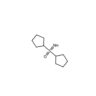 N=S(=O)(C1CCCC1)C1CCCC1